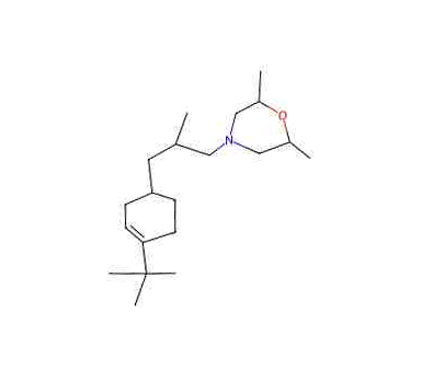 CC(CC1CC=C(C(C)(C)C)CC1)CN1CC(C)OC(C)C1